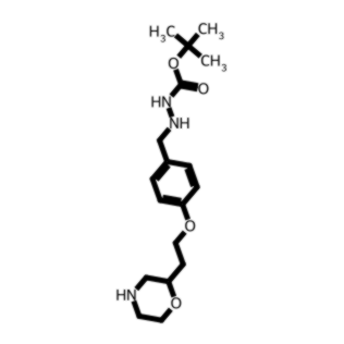 CC(C)(C)OC(=O)NNCc1ccc(OCCC2CNCCO2)cc1